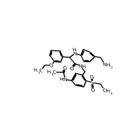 CCOc1cccc(C(Nc2ccc(CN)cc2)C(=O)NCc2cc(NC(C)=O)ccc2S(=O)(=O)CC)c1